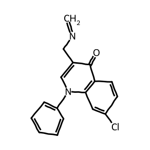 C=NCc1cn(-c2ccccc2)c2cc(Cl)ccc2c1=O